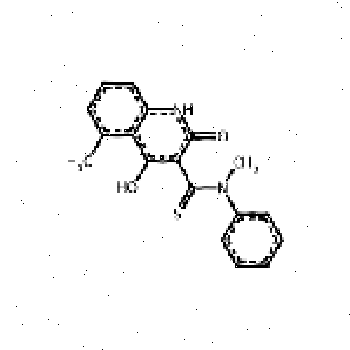 Cc1cccc2[nH]c(=O)c(C(=S)N(C)c3ccccc3)c(O)c12